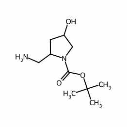 CC(C)(C)OC(=O)N1CC(O)CC1CN